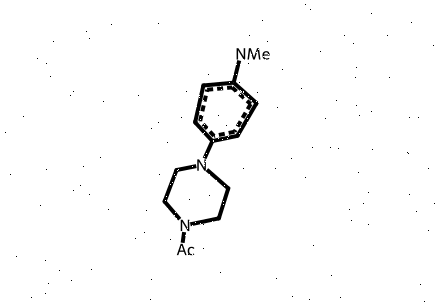 CNc1ccc(N2CCN(C(C)=O)CC2)cc1